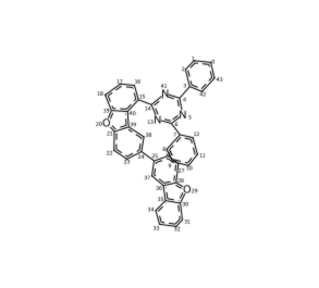 c1ccc(-c2nc(-c3ccccc3)nc(-c3cccc4oc5ccc(-c6ccc7oc8ccccc8c7c6)cc5c34)n2)cc1